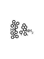 Cc1cccc(-c2c(N)c3ccc4cccc5ccc(c2-c2cccc(C)c2)c3c45)c1.c1ccc(C2(c3cccc(Nc4cccc(C5(c6ccccc6)c6ccccc6-c6ccccc65)c4)c3)c3ccccc3-c3ccccc32)cc1